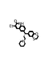 CCc1cc2cc([C@@H](CCN3CCCCC3)c3ccc4c(c3)SCCO4)ccc2[nH]c1=O